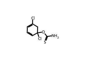 NC(=S)OC1(Cl)C=CC=C(Cl)C1